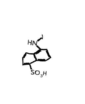 O=S(=O)(O)c1cccc2c(NI)cccc12